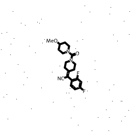 COC1CCN(C(=O)N2CCC(=C(C#N)c3ccc(F)cc3F)CC2)CC1